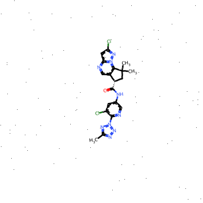 Cc1nnn(-c2ncc(NC(=O)[C@H]3CC(C)(C)c4c3cnc3cc(Cl)nn43)cc2Cl)n1